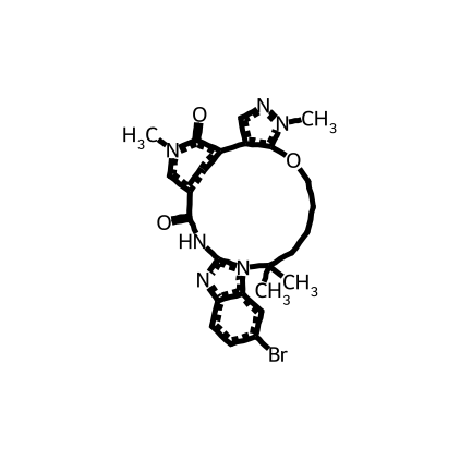 Cn1ncc2c1OCCCCC(C)(C)n1c(nc3ccc(Br)cc31)NC(=O)c1cc-2c(=O)n(C)c1